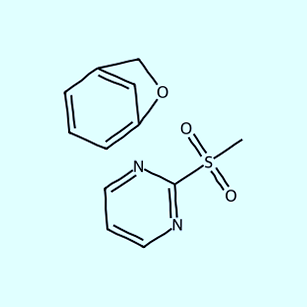 CS(=O)(=O)c1ncccn1.c1cc2cc(c1)OC2